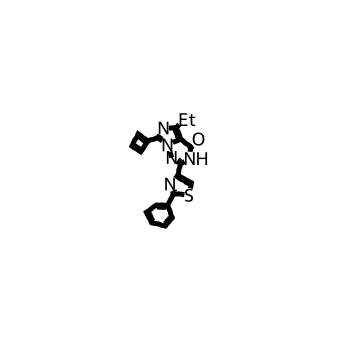 CCc1nc(C2=CC=C2)n2nc(-c3csc(-c4ccccc4)n3)[nH]c(=O)c12